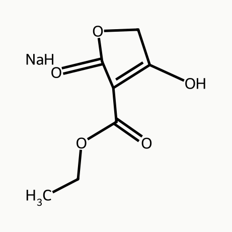 CCOC(=O)C1=C(O)COC1=O.[NaH]